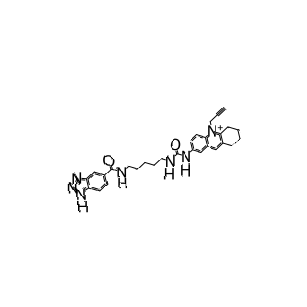 C#CC[n+]1c2c(cc3cc(NC(=O)NCCCCCNC(=O)c4ccc5[nH]nnc5c4)ccc31)CCCC2